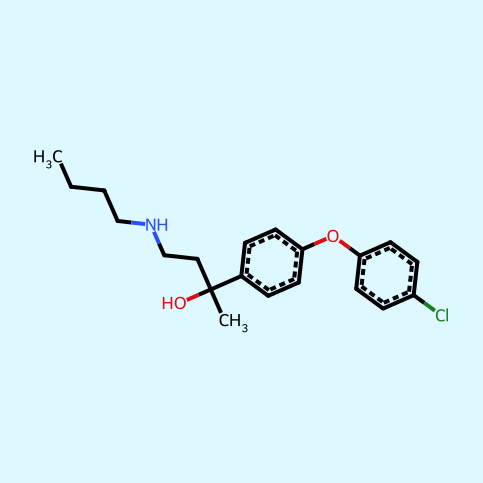 CCCCNCCC(C)(O)c1ccc(Oc2ccc(Cl)cc2)cc1